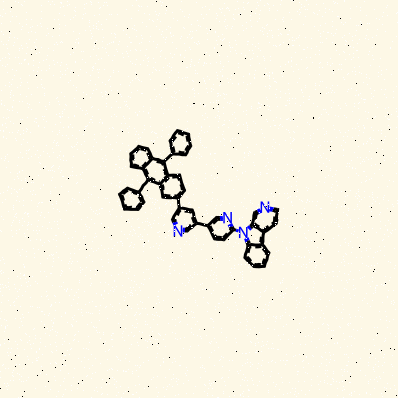 c1ccc(-c2c3ccccc3c(-c3ccccc3)c3cc(-c4cncc(-c5ccc(-n6c7ccccc7c7ccncc76)nc5)c4)ccc23)cc1